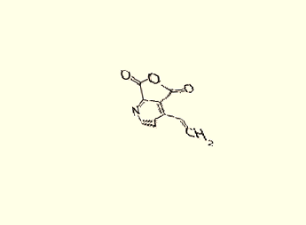 C=Cc1ccnc2c1C(=O)OC2=O